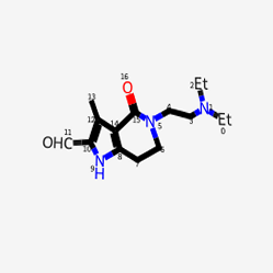 CCN(CC)CCN1CCc2[nH]c(C=O)c(C)c2C1=O